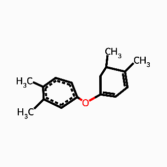 CC1=CC=C(Oc2ccc(C)c(C)c2)CC1C